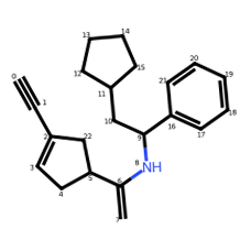 C#CC1=CCC(C(=C)NC(CC2CCCC2)c2ccccc2)C1